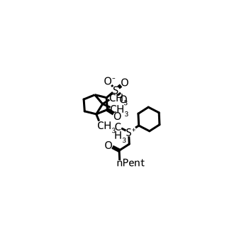 CC12CCC(C(S(=O)(=O)[O-])C1=O)C2(C)C.CCCCCC(=O)C[S+](C)C1CCCCC1